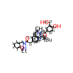 CCOc1ccccc1CNC(=O)Cc1cccc(C[C@@H](C)NC[C@@H](O[Si](C)(C)C(C)(C)C)c2ccc(O)c(CO)c2)c1